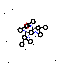 c1ccc(-c2ccc3c4c2c2ccccc2n4-c2cc4c(cc2B3n2c3ccccc3c3ccccc32)B(n2c3ccccc3c3ccccc32)c2ccc(-c3ccccc3)c3c5ccccc5n-4c23)cc1